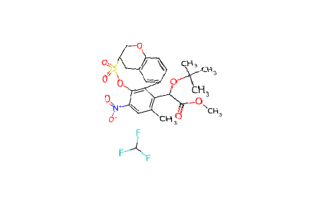 COC(=O)C(OC(C)(C)C)c1c(C)cc([N+](=O)[O-])c2c1-c1ccc3c(c1)CC(CO3)S(=O)(=O)O2.FC(F)F